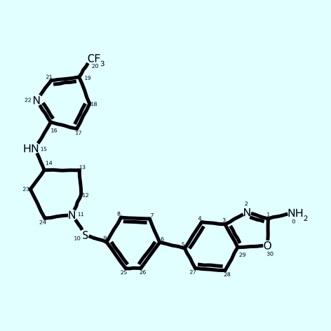 Nc1nc2cc(-c3ccc(SN4CCC(Nc5ccc(C(F)(F)F)cn5)CC4)cc3)ccc2o1